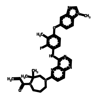 C=CC(=O)N1CCCN(c2ccc3ncnc(Nc4ccc(Oc5ccc6c(c5)ncn6C)c(C)c4F)c3n2)CC1(C)C